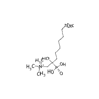 CCCCCCCCCCCCCCCCC(O)(C[N+](C)(C)C)P(=O)(O)O